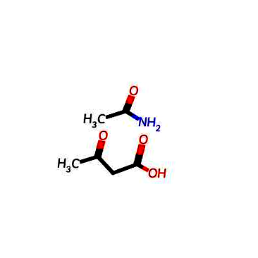 CC(=O)CC(=O)O.CC(N)=O